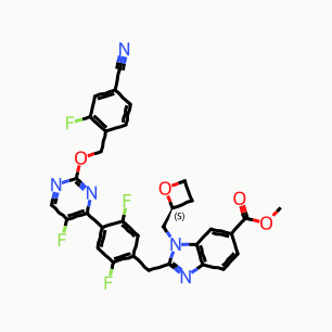 COC(=O)c1ccc2nc(Cc3cc(F)c(-c4nc(OCc5ccc(C#N)cc5F)ncc4F)cc3F)n(C[C@@H]3CCO3)c2c1